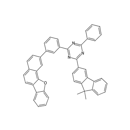 CC1(C)c2ccccc2-c2cc(-c3nc(-c4ccccc4)nc(-c4cccc(-c5ccc6ccc7c8ccccc8oc7c6c5)c4)n3)ccc21